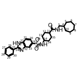 O=C(NCC1CCCCCC1)C1CCC(NS(=O)(=O)c2ccc3[nH]c(-c4ccccc4)nc3c2)CC1